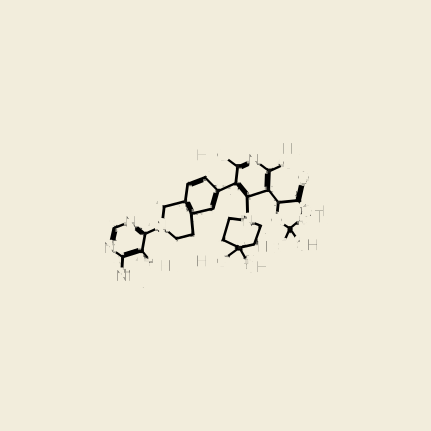 Cc1nc(C)c(C(OC(C)(C)C)C(=O)O)c(N2CCC(C)(C)CC2)c1-c1ccc2c(c1)CCN(c1ncnc(N)c1C)C2